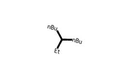 CC[CH]CC(CC)CCCC